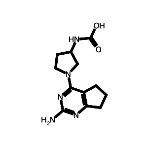 Nc1nc2c(c(N3CCC(NC(=O)O)C3)n1)CCC2